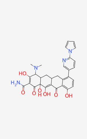 CN(C)C1C(O)=C(C(N)=O)C(=O)C2(O)C(O)=C3C(=O)c4c(O)ccc(-c5ccc(-n6cccc6)nc5)c4CC3CC12